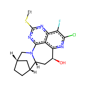 CCSc1nc2c3c(nc(Cl)c(F)c3n1)[C@@H](O)C[C@@H]1[C@@H]3CC[C@@H](C3)CN21